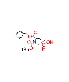 CC(C)(C)OC(=O)N1C[C@](O)(CO)C[C@H]1C(=O)OCc1ccccc1